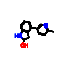 Cc1ccc(-c2cccc3c2CC(O)N3)cn1